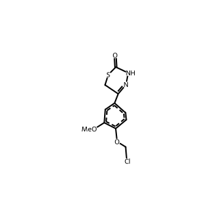 COc1cc(C2=NNC(=O)SC2)ccc1OCCl